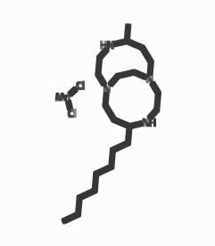 CCCCCCCCC1CCN2CCNC(C)CCN(CCN1)CC2.[Cl][Mn][Cl]